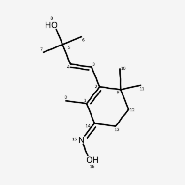 CC1=C(/C=C/C(C)(C)O)C(C)(C)CC/C1=N\O